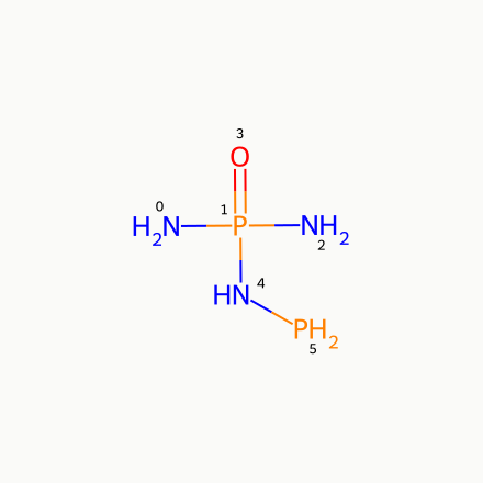 NP(N)(=O)NP